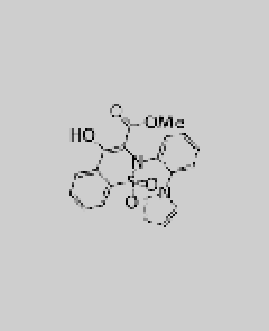 COC(=O)C1=C(O)c2ccccc2S(=O)(=O)N1c1ccccc1-n1cccc1